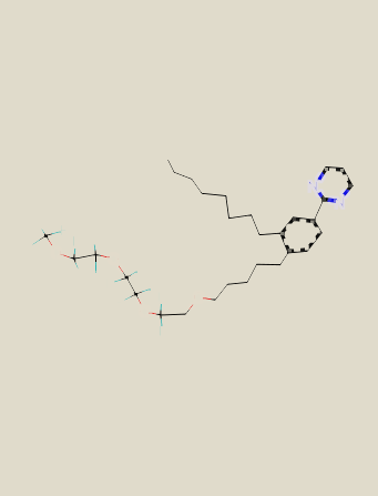 CCCCCCCCc1cc(-c2ncccn2)ccc1CCCCCOCC(F)(F)OC(F)(F)C(F)(F)OC(F)(F)C(F)(F)OC(F)(F)F